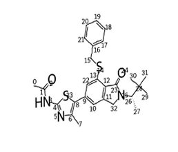 CC(=O)Nc1nc(C)c(-c2cc3c(c(SCc4ccccc4)c2)C(=O)N([C@@H](C)C(C)(C)C)C3)s1